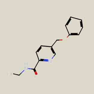 CC(C)CNC(=O)c1ccc(COc2ccccc2)cn1